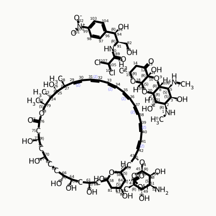 CN[C@@H]1[C@H](O)[C@H](NC)[C@H]2O[C@@]3(O)C(=O)C[C@@H](C)O[C@H]3O[C@@H]2[C@H]1O.C[C@@H]1[C@H](O)[C@@H](C)\C=C/C=C\C=C/C=C\C=C/C=C\C=C/[C@H](O[C@@H]2O[C@H](C)[C@@H](O)[C@H](N)[C@@H]2O)C[C@@H]2O[C@](O)(C[C@@H](O)C[C@@H](O)[C@H](O)CC[C@@H](O)C[C@@H](O)CC(=O)O[C@H]1C)C[C@H](O)[C@H]2C(=O)O.O=C(N[C@H](CO)[C@H](O)c1ccc([N+](=O)[O-])cc1)C(Cl)Cl